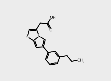 CCCc1cccc(-c2cc3scc(CC(=O)O)n3c2)c1